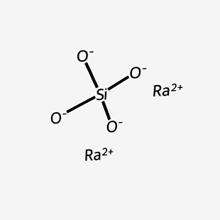 [O-][Si]([O-])([O-])[O-].[Ra+2].[Ra+2]